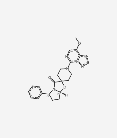 COc1cnc(N2CCC3(CC2)O[C@@H]2CC[C@@H](c4ccccc4)N2C3=O)n2ncnc12